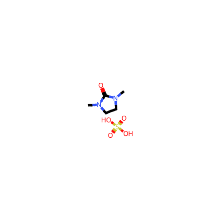 CN1CCN(C)C1=O.O=S(=O)(O)O